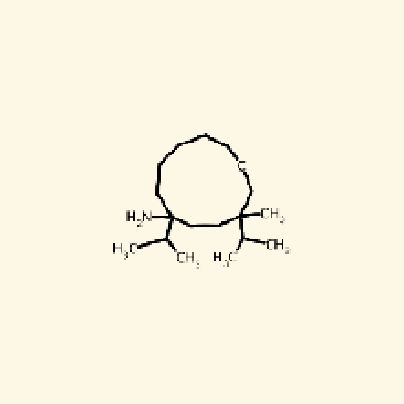 CC(C)C1(C)CCCCCCCC(N)(C(C)C)CC1